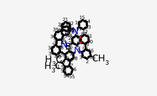 Cc1ccc(N2c3ccc(N(c4ccccc4)c4ccccc4)cc3B3c4c2cc2c(c4-c4cccc5c6ccc7ccccc7c6n3c45)C(C)(C)c3ccccc3-2)c(-c2ccccc2)c1